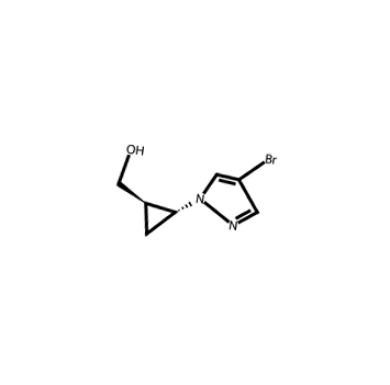 OC[C@@H]1C[C@H]1n1cc(Br)cn1